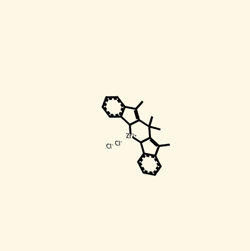 CC1=C2[CH]([Zr+2][CH]3C(=C(C)c4ccccc43)C2(C)C)c2ccccc21.[Cl-].[Cl-]